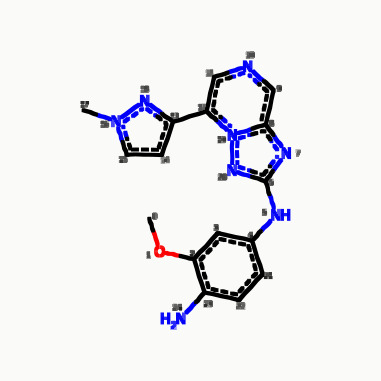 COc1cc(Nc2nc3cncc(-c4ccn(C)n4)n3n2)ccc1N